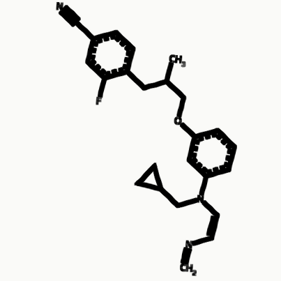 C=N/C=C\N(CC1CC1)c1cccc(OCC(C)Cc2ccc(C#N)cc2F)c1